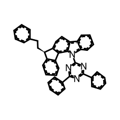 c1ccc(CC[C@@H]2c3ccccc3-c3c2ccc2c4ccccc4n(-c4nc(-c5ccccc5)nc(-c5ccccc5)n4)c32)cc1